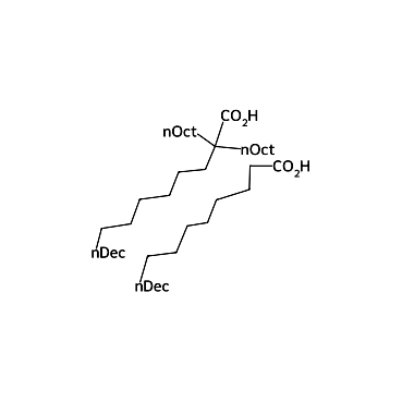 CCCCCCCCCCCCCCCCC(CCCCCCCC)(CCCCCCCC)C(=O)O.CCCCCCCCCCCCCCCCCC(=O)O